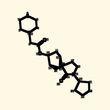 O=C(CN1CCSCC1)OC1CC2CC1CC21CCN(C2CCCC2)C1=O